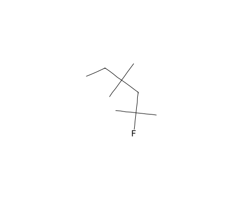 CCC(C)(C)CC(C)(C)F